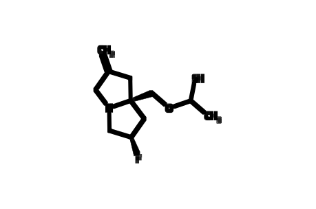 C=C1CN2C[C@H](F)C[C@@]2(COC(C)S)C1